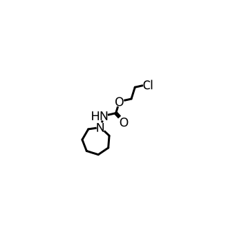 O=C(NN1CCCCCC1)OCCCl